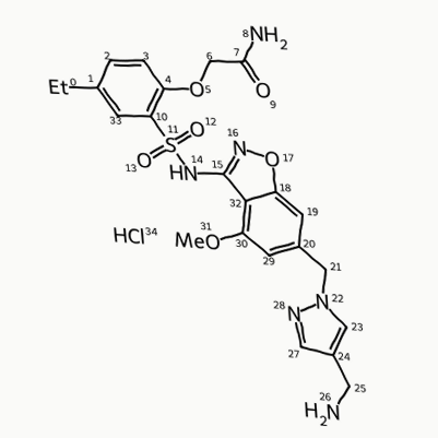 CCc1ccc(OCC(N)=O)c(S(=O)(=O)Nc2noc3cc(Cn4cc(CN)cn4)cc(OC)c23)c1.Cl